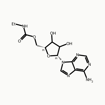 CCNC(=O)OC[C@H]1O[C@@H](n2cnc3c(N)ncnc32)C(O)C1O